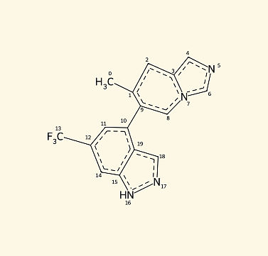 Cc1cc2cncn2cc1-c1cc(C(F)(F)F)cc2[nH]ncc12